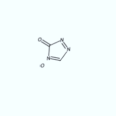 O=C1N=CN=N1.[O]